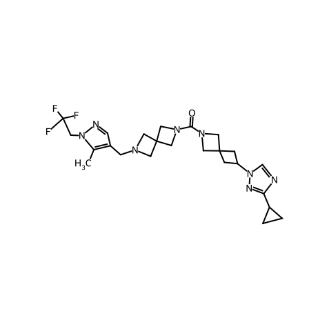 Cc1c(CN2CC3(C2)CN(C(=O)N2CC4(CC(n5cnc(C6CC6)n5)C4)C2)C3)cnn1CC(F)(F)F